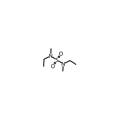 CCN(C)S(=O)(=O)N(C)CC